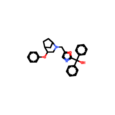 OC(c1ccccc1)(c1ccccc1)c1ncc(CN2CC(Oc3ccccc3)C3CCC2C3)o1